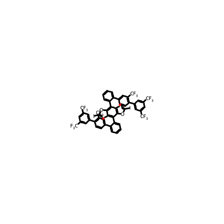 FC(F)(F)c1cc(-c2ccc(-c3ccccc3-c3c4nc(I)oc4c(-c4ccccc4-c4ccc(-c5cc(C(F)(F)F)cc(C(F)(F)F)c5)c(C(F)(F)F)c4)c4nc(I)oc34)cc2C(F)(F)F)cc(C(F)(F)F)c1